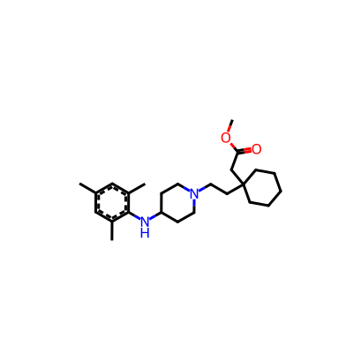 COC(=O)CC1(CCN2CCC(Nc3c(C)cc(C)cc3C)CC2)CCCCC1